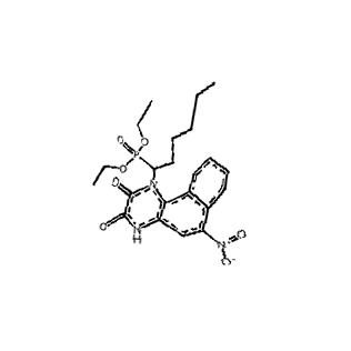 CCCCCC(n1c(=O)c(=O)[nH]c2cc([N+](=O)[O-])c3ccccc3c21)P(=O)(OCC)OCC